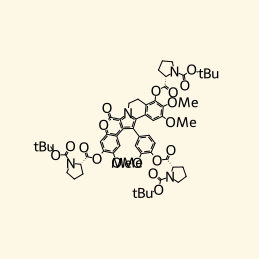 COc1cc(-c2c3n(c4c(=O)oc5cc(OC(=O)[C@@H]6CCCN6C(=O)OC(C)(C)C)c(OC)cc5c24)CCc2c-3cc(OC)c(OC)c2OC(=O)[C@@H]2CCCN2C(=O)OC(C)(C)C)ccc1OC(=O)[C@@H]1CCCN1C(=O)OC(C)(C)C